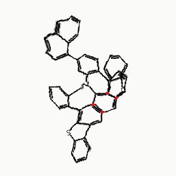 c1ccc(-c2ccc(-c3cccc4ccccc34)cc2N(c2ccccc2-c2cccc3c2sc2ccccc23)c2cccc3oc4ccccc4c23)cc1